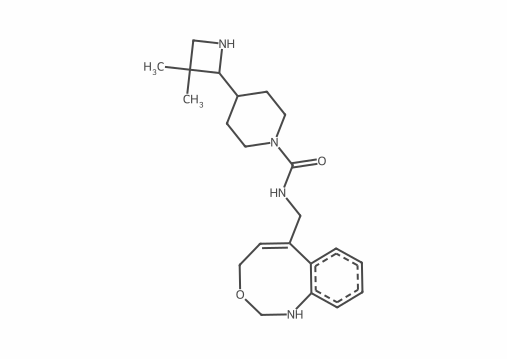 CC1(C)CNC1C1CCN(C(=O)NC/C2=C/COCNc3ccccc32)CC1